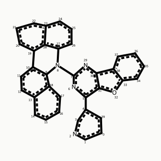 c1cncc(-c2nc(N3c4c(ccc5ccccc45)-c4cccc5cccc3c45)nc3c2oc2ccccc23)c1